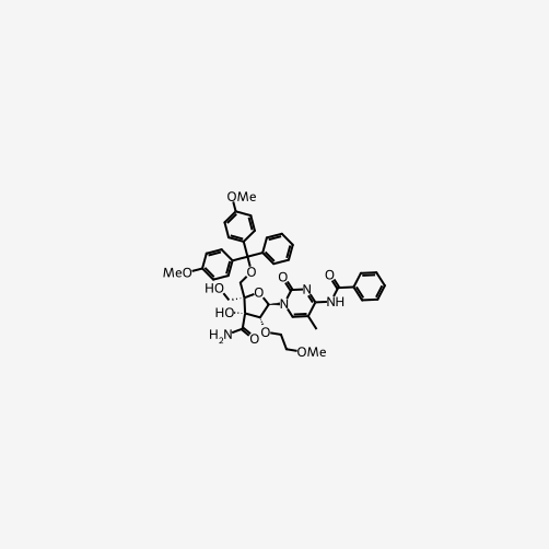 COCCO[C@H]1[C@H](n2cc(C)c(NC(=O)c3ccccc3)nc2=O)O[C@](CO)(COC(c2ccccc2)(c2ccc(OC)cc2)c2ccc(OC)cc2)[C@]1(O)C(N)=O